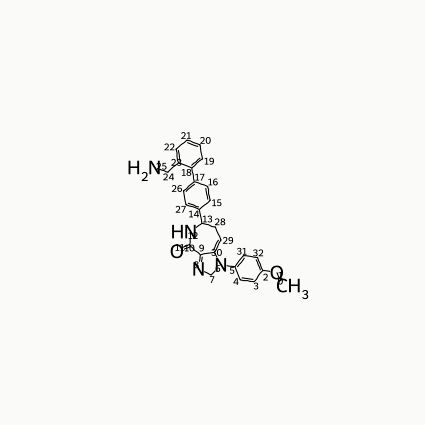 COc1ccc(N2CN=C3C(=O)NC(c4ccc(-c5ccccc5CN)cc4)CC=C32)cc1